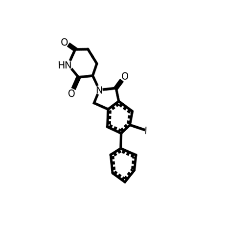 O=C1CCC(N2Cc3cc(-c4ccccc4)c(I)cc3C2=O)C(=O)N1